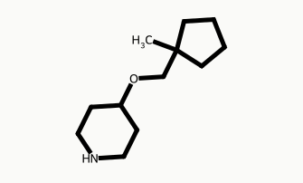 CC1(COC2CCNCC2)CCCC1